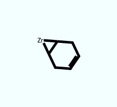 C1=CC[CH]2[Zr][CH]2C1